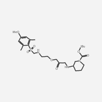 COc1cc(C)c(S(=O)(=O)CNCCOCC(=O)CNC2CCCN(C(=O)OC(C)(C)C)C2)c(C)c1